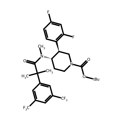 CN(C(=O)C(C)(C)c1cc(C(F)(F)F)cc(C(F)(F)F)c1)[C@H]1CCN(C(=O)OC(C)(C)C)C[C@@H]1c1ccc(F)cc1F